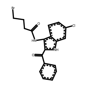 O=C(CCCBr)Nc1c(C(=O)c2ccccc2)[nH]c2cc(Cl)ccc12